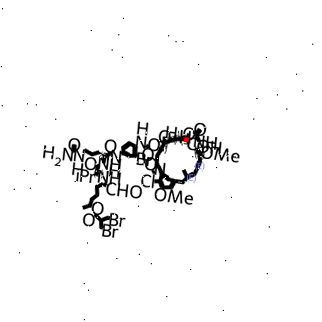 COc1cc2cc(c1Cl)N(C)C(=O)C[C@H](OC(=O)Nc1ccc(NC(=O)[C@H](CCCNC(N)=O)NC(=O)[C@@H](NC(C=O)CCCC(C)OC(=O)C(CBr)CBr)C(C)C)cc1Br)[C@]1(C)O[C@H]1[C@H](C)[C@@H]1C[C@@](O)(NC(=O)O1)[C@H](OC)/C=C/C=C(\C)C2